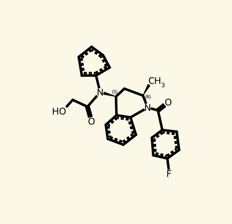 C[C@@H]1C[C@H](N(C(=O)CO)c2ccccc2)c2ccccc2N1C(=O)c1ccc(F)cc1